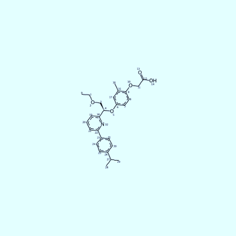 CCOC[C@@H](Oc1ccc(OCC(=O)O)c(C)c1)c1cccc(-c2ccc(C(C)C)cc2)n1